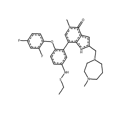 CCSNc1ccc(Oc2ccc(F)cc2F)c(-c2cn(C)c(=O)c3cc(CN4CCCN(C)CC4)[nH]c23)c1